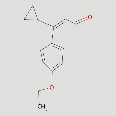 CCOc1ccc(/C(=C\C=O)C2CC2)cc1